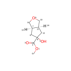 COC(=O)C1(O)C[C@H]2COC[C@H]2C1